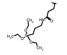 CCO[Si](CCCNC(=O)CCC(=O)O)(OCC)OCC